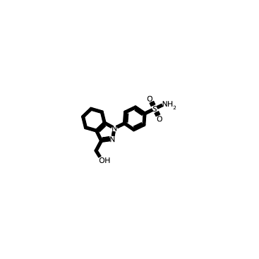 NS(=O)(=O)c1ccc(-n2nc(CO)c3c2CCCC3)cc1